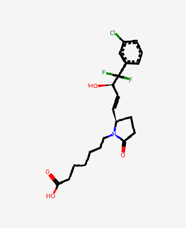 O=C(O)CCCCCCN1C(=O)CC[C@@H]1/C=C/[C@@H](O)C(F)(F)c1cccc(Cl)c1